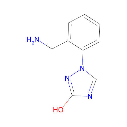 NCc1ccccc1-n1cnc(O)n1